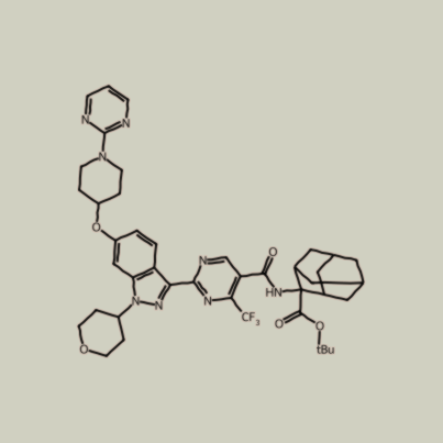 CC(C)(C)OC(=O)C1(NC(=O)c2cnc(-c3nn(C4CCOCC4)c4cc(OC5CCN(c6ncccn6)CC5)ccc34)nc2C(F)(F)F)C2CC3CC(C2)CC1C3